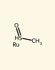 C[SH]=O.[Ru]